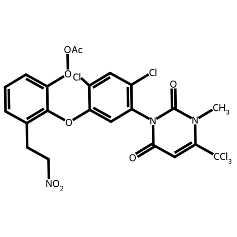 CC(=O)OOc1cccc(CC[N+](=O)[O-])c1Oc1cc(-n2c(=O)cc(C(Cl)(Cl)Cl)n(C)c2=O)c(Cl)cc1Cl